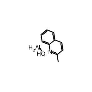 Cc1ccc2ccccc2n1.[OH][AlH2]